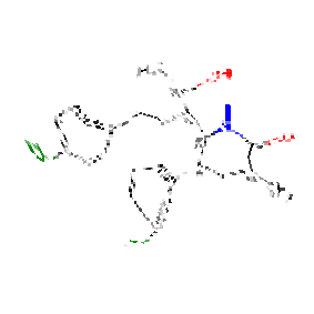 C[C@@H]1C[C@H](c2cccc(Cl)c2)[C@@H]([C@H](CCc2ccc(Cl)cc2)[C@H](C)O)NC1=O